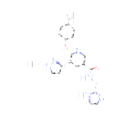 Cn1ccc(-c2cc(C(=O)NCc3ncc[nH]3)cnc2Oc2ccc(C(F)(F)F)cc2)n1